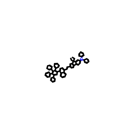 CCC1(CC)c2cc(/C=C/c3ccc(-c4cc(-c5ccccc5)c(-c5ccccc5)c(C5=CCCC=C5)c4-c4ccccc4)c4ccccc34)ccc2-c2ccc(N(c3ccccc3)C3C=CC=CC3)cc21